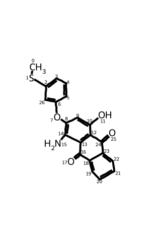 CSc1cccc(Oc2cc(O)c3c(c2N)C(=O)c2ccccc2C3=O)c1